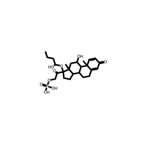 CCCC(O)OC1(C(=O)COP(=O)(O)O)CCC2C3CCC4=CC(=O)C=CC4(C)C3C(O)CC21C